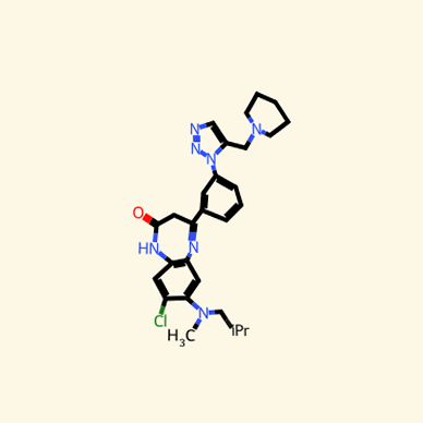 CC(C)CN(C)c1cc2c(cc1Cl)NC(=O)CC(c1cccc(-n3nncc3CN3CCCCC3)c1)=N2